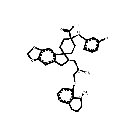 C[C@@H](COc1ccnc2c1[C@@H](C)CCC2)C[C@H]1Cc2cc3c(cc2C12CCC(Nc1cccc(Cl)c1)(C(=O)O)CC2)OCO3